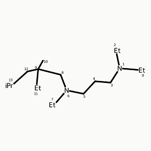 CCN(CC)CCCN(CC)CC(C)(CC)CC(C)C